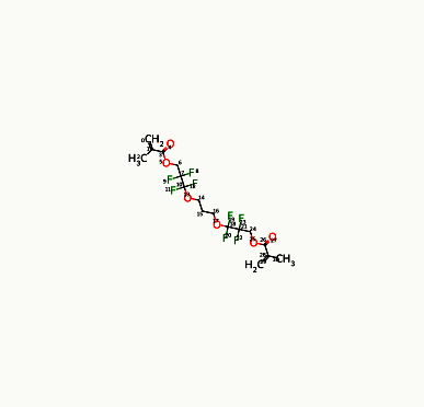 C=C(C)C(=O)OCC(F)(F)C(F)(F)OCCCOC(F)(F)C(F)(F)COC(=O)C(=C)C